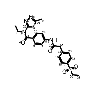 CCN(C(=O)c1ccc(NC(=O)Cc2ccc(S(=O)(=O)CC)cc2)cc1)c1nnc(C)s1